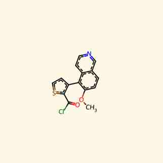 COc1ccc2cnccc2c1-c1ccsc1C(=O)Cl